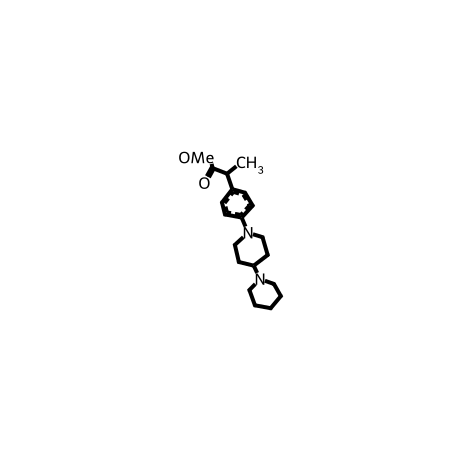 COC(=O)C(C)c1ccc(N2CCC(N3CCCCC3)CC2)cc1